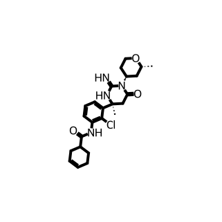 C[C@@H]1C[C@H](N2C(=N)N[C@](C)(c3cccc(NC(=O)C4CC=CCC4)c3Cl)CC2=O)CCO1